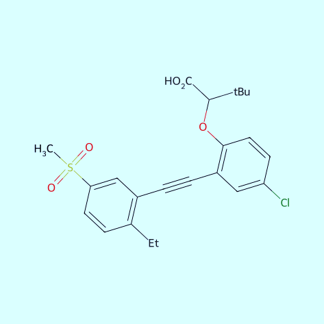 CCc1ccc(S(C)(=O)=O)cc1C#Cc1cc(Cl)ccc1OC(C(=O)O)C(C)(C)C